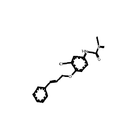 CN(C)C(=O)Nc1ccc(OCC=Cc2ccccc2)c(Cl)c1